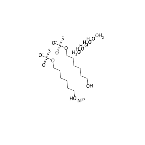 O.O.O.O.O.O.O=S([O-])(=S)OCCCCCCO.O=S([O-])(=S)OCCCCCCO.[Ni+2]